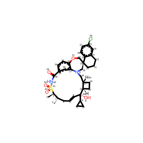 C[C@@H]1[C@@H](C)C/C=C/[C@](O)(C2CC2)[C@@H]2CC[C@H]2CN2C[C@@]3(CCCc4cc(Cl)ccc43)COc3ccc(cc32)C(=O)NS1(=O)=O